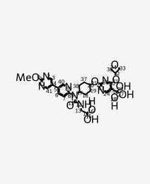 COc1ncc(-c2ccc(N(C(=O)NCC(O)O)C3CCC(Oc4ncc(C(O)(O)O)c(OC5COC5)n4)CC3)nc2)cn1